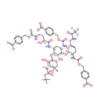 CN(C(=O)OC(C)(C)C)[C@@H]1[C@@H](O)[C@@H](O[C@@H]2[C@@H](O)[C@H](O[C@H]3OC(CNC(=O)C(F)(F)F)=CC[C@H]3NC(=O)OCc3ccc([N+](=O)[O-])cc3)[C@@H](NC(=O)OCc3ccc([N+](=O)[O-])cc3)C[C@H]2NC(=O)[C@@H](O)CCNC(=O)OCc2ccc([N+](=O)[O-])cc2)OC[C@]1(C)O